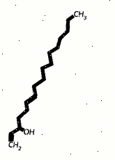 C=CC(O)CC/C=C/CCCCCCCCCC